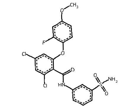 COc1ccc(Oc2cc(Cl)cc(Cl)c2C(=O)Nc2cccc(S(N)(=O)=O)c2)c(F)c1